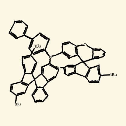 CC(C)(C)c1ccc2c(c1)C1(c3ccccc3Oc3ccc(N(c4ccc(-c5ccccc5)cc4)c4ccc5c(c4)C4(c6ccccc6-5)c5cc(C(C)(C)C)ccc5-c5ccc(C(C)(C)C)cc54)cc31)c1cc(C(C)(C)C)ccc1-2